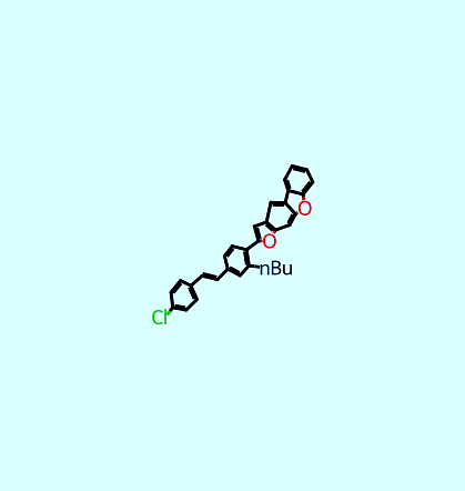 CCCCc1cc(C=Cc2ccc(Cl)cc2)ccc1-c1cc2cc3c(cc2o1)oc1ccccc13